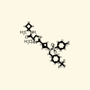 CC1(NC(=O)[C@@]2(C)CN=C(C34CC(N(Cc5ccc(C(F)(F)F)cc5)S(=O)(=O)c5ccc(F)cc5)(C3)C4)N2)CCC1